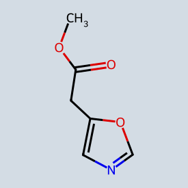 COC(=O)Cc1cnco1